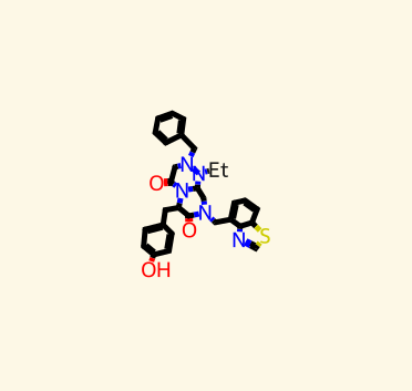 CCN1C2CN(CC3=CC=CC4SC=NC34)C(=O)C(Cc3ccc(O)cc3)N2C(=O)CN1Cc1ccccc1